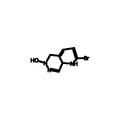 ON1CC2=CC=C(Br)NC2C=N1